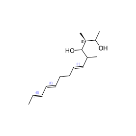 C/C=C/C=C/CC/C=C/C(C)C(O)[C@@H](C)C(C)O